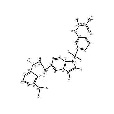 Cc1c(C)n(C(C)(C)c2cccc(O[C@@H](C)C(=O)O)c2)c2ccc(C(=O)N[C@@H](C)c3cccc(C(C)C)c3)cc12